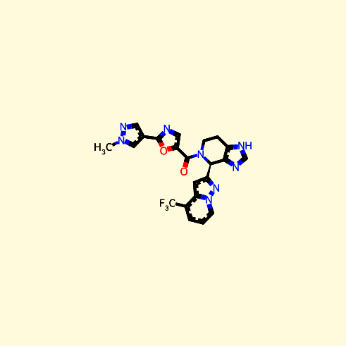 Cn1cc(-c2ncc(C(=O)N3CCc4[nH]cnc4[C@H]3c3cc4c(C(F)(F)F)cccn4n3)o2)cn1